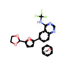 FC(F)(F)Nc1ncnc2ccc(-c3ccc(C4OCCO4)o3)cc12.c1cc2ccc1CO2